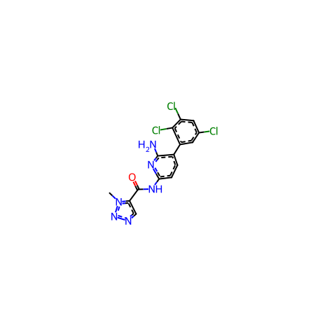 Cn1nncc1C(=O)Nc1ccc(-c2cc(Cl)cc(Cl)c2Cl)c(N)n1